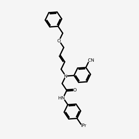 CC(C)c1ccc(NC(=O)CN(CC=CCOCc2ccccc2)c2cccc(C#N)c2)cc1